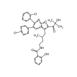 CC(CCNC(=O)c1ccccc1O)Cc1c(C(=O)C(C)(C)O)oc2nc(-c3ccccc3Cl)c(-c3ccc(Cl)cc3)cc12